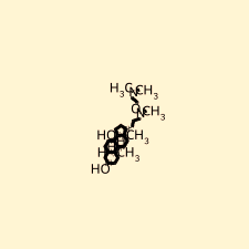 CN(C)CCON(C)CCC[C@H]1CC[C@]2(O)[C@@H]3CC[C@@H]4C[C@@H](O)CC[C@]4(C)[C@H]3CC[C@]12C